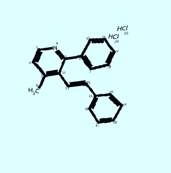 Cc1ccnc(-c2ccccc2)c1C=Cc1ccccc1.Cl.Cl